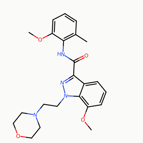 COc1cccc(C)c1NC(=O)c1nn(CCN2CCOCC2)c2c(OC)cccc12